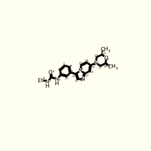 CCNC(=O)Nc1cccc(-c2cnc3cc(N4CC(C)O[C@H](C)C4)ccn23)c1